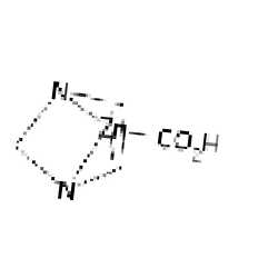 O=[C](O)[Zn]1[N]2C=C[N]1C2